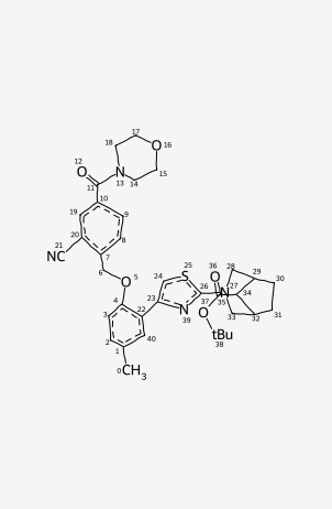 Cc1ccc(OCc2ccc(C(=O)N3CCOCC3)cc2C#N)c(-c2csc(N3CC4CCC(C3)C4C(=O)OC(C)(C)C)n2)c1